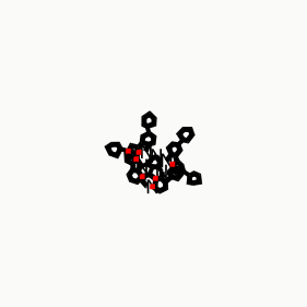 c1ccc(-c2ccc3c(c2)c2cc(-c4ccccc4)ccc2n3-c2nc(-n3c4ccc(-c5ccccc5)cc4c4cc(-c5ccccc5)ccc43)c(-n3c4ccccc4c4ccccc43)c(-c3cccnc3)c2-n2c3ccccc3c3ccccc32)cc1